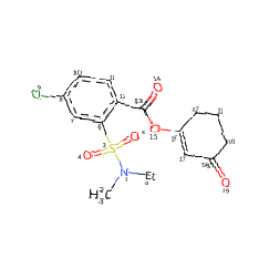 CCN(C)S(=O)(=O)c1cc(Cl)ccc1C(=O)OC1=CC(=O)CCC1